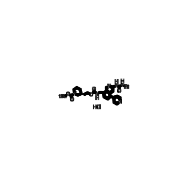 CCNC(=O)Nc1cc2c(-c3ccncc3)ccc(CNC(=O)OCC[C@H]3CCCN(C(=O)OC(C)(C)C)C3)c2cn1.Cl